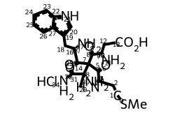 CSCC[C@@H](N)C(=O)C(C(=O)[C@H](N)CC(=O)O)(C(=O)[C@H](N)Cc1c[nH]c2ccccc12)C(C)(N)C(N)=O.Cl